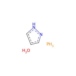 O.P.c1cn[nH]c1